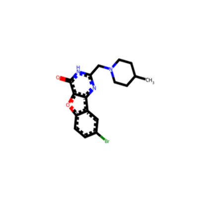 CC1CCN(Cc2nc3c(oc4ccc(Br)cc43)c(=O)[nH]2)CC1